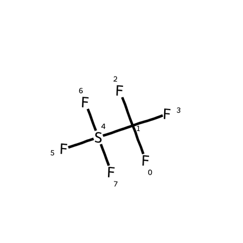 FC(F)(F)S(F)(F)F